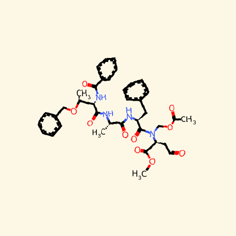 COC(=O)[C@H](CC=O)N(COC(C)=O)C(=O)[C@H](Cc1ccccc1)NC(=O)[C@H](C)NC(=O)[C@@H](NC(=O)c1ccccc1)[C@@H](C)OCc1ccccc1